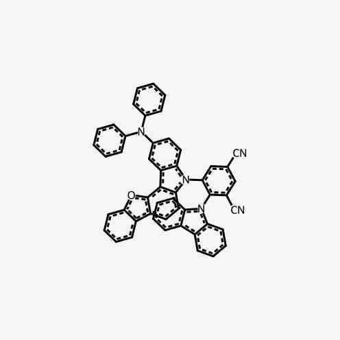 N#Cc1cc(C#N)c(-n2c3ccccc3c3ccccc32)c(-n2c3ccc(N(c4ccccc4)c4ccccc4)cc3c3c4oc5ccccc5c4ccc32)c1